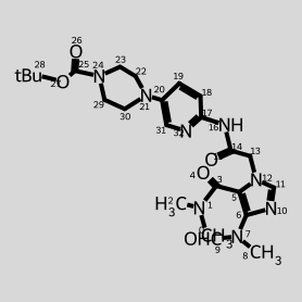 CN(C)C(=O)c1c(N(C)C=O)ncn1CC(=O)Nc1ccc(N2CCN(C(=O)OC(C)(C)C)CC2)cn1